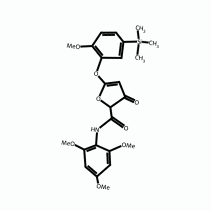 COc1cc(OC)c(NC(=O)C2OC(Oc3cc([Si](C)(C)C)ccc3OC)=CC2=O)c(OC)c1